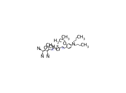 C=C(C)COc1cc(N(CCCC)CCCC)ccc1/C=C/c1ccc(/C=C/C2=C(C#N)C(=C(C#N)C#N)OC2(C)C)s1